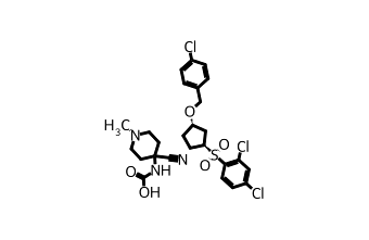 CN1CCC(C#N)(NC(=O)O)CC1.O=S(=O)(c1ccc(Cl)cc1Cl)[C@H]1CC[C@H](OCc2ccc(Cl)cc2)C1